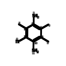 CCc1c(C)c(N)c(C)c(C)c1N